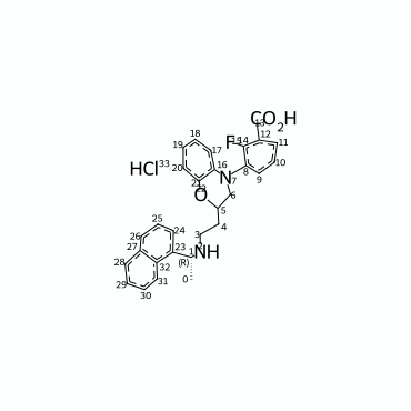 C[C@@H](NCCC1CN(c2cccc(C(=O)O)c2F)c2ccccc2O1)c1cccc2ccccc12.Cl